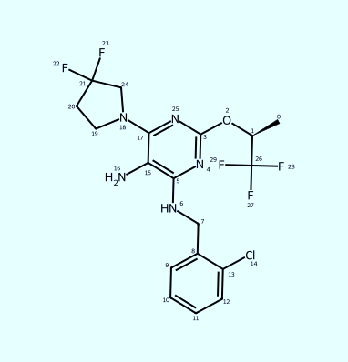 C[C@H](Oc1nc(NCc2ccccc2Cl)c(N)c(N2CCC(F)(F)C2)n1)C(F)(F)F